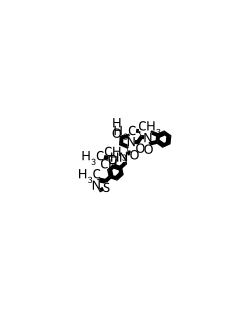 Cc1ncsc1-c1ccc(CNC(=O)[C@@H]2C[C@@H](O)CN2C(=O)[C@H](C(C)C)N2Cc3ccccc3C2=O)c(OC(C)(C)C)c1